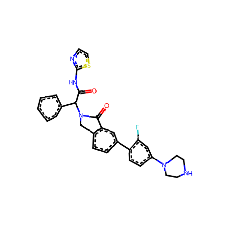 O=C(Nc1nccs1)C(c1ccccc1)N1Cc2ccc(-c3ccc(N4CCNCC4)cc3F)cc2C1=O